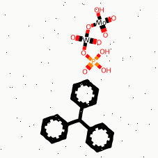 O=P(O)(O)[O][W](=[O])(=[O])[O][Mo](=[O])(=[O])[OH].c1ccc(C(c2ccccc2)c2ccccc2)cc1